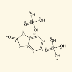 O=C1Cc2ccccc2O1.O=P(O)(O)O.O=P(O)(O)O